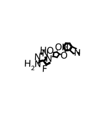 CN1Cc2cccc(OC3C[C@H](n4cc(F)c5c(N)ncnc54)[C@H](O)[C@@H]3O)c2C1